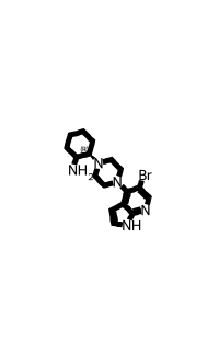 N[C]1CCCC[C@H]1N1CCN(c2c(Br)cnc3[nH]ccc23)CC1